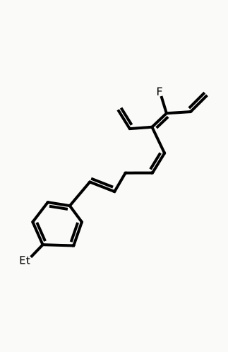 C=C/C(F)=C(C=C)\C=C/C/C=C/c1ccc(CC)cc1